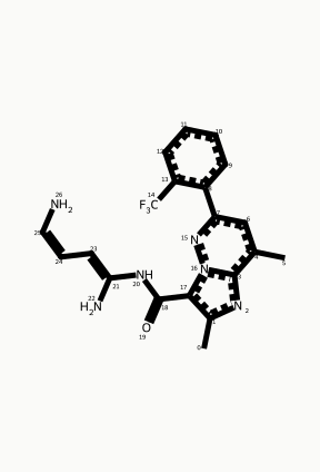 Cc1nc2c(C)cc(-c3ccccc3C(F)(F)F)nn2c1C(=O)N/C(N)=C/C=C\N